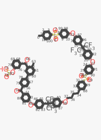 Cc1ccc(S(=O)(=O)c2ccc(Oc3ccc(C(c4ccc(Oc5ccc(S(=O)(=O)c6ccc(CCCCOc7ccc(C(c8ccc(Oc9ccc(C(=O)c%10ccc(-c%11ccc(C)c(C(=O)c%12cccc(OS(=O)O)c%12)c%11)cc%10)cc9)cc8)(C(F)(F)F)C(F)(F)F)cc7)cc6)cc5)cc4)(C(F)(F)F)C(F)(F)F)cc3)cc2)cc1